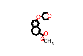 COC(=O)C1=Cc2cc(OC3CCOCC3)ccc2CCC1